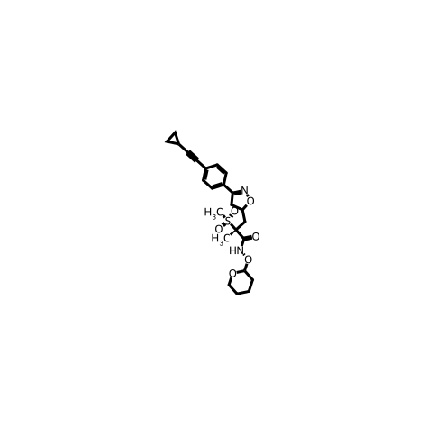 C[C@@](CC1CC(c2ccc(C#CC3CC3)cc2)=NO1)(C(=O)NOC1CCCCO1)S(C)(=O)=O